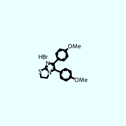 Br.COc1ccc(-c2nc3n(c2-c2ccc(OC)cc2)CCS3)cc1